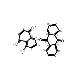 O=C1C=CC(=O)c2c(O)cccc21.O=C1c2ccccc2C(=O)c2ccccc21